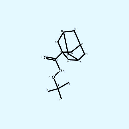 CC(C)(C)OOC(=O)C12CC3CC(CC(C3)C1)C2